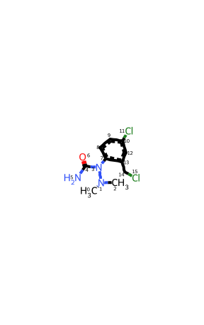 CN(C)N(C(N)=O)c1ccc(Cl)cc1CCl